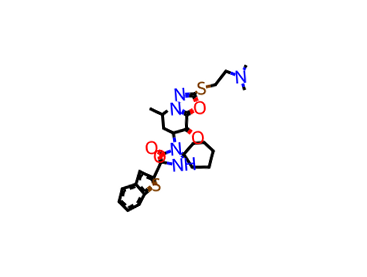 CC(C)CC(C(=O)c1nnc(SCCN(C)C)o1)N(C=O)C1(NC(=O)c2cc3ccccc3s2)CCCCC1